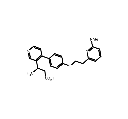 CNc1cccc(CCOc2ccc(-c3ccncc3C(C)CC(=O)O)cc2)n1